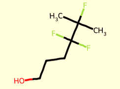 CC(C)(F)C(F)(F)CCCO